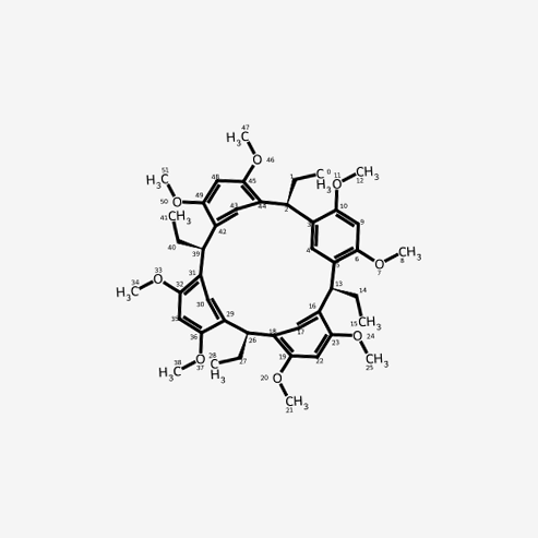 CC[C@H]1c2cc(c(OC)cc2OC)[C@@H](CC)c2cc(c(OC)cc2OC)[C@@H](CC)c2cc(c(OC)cc2OC)[C@@H](CC)c2cc1c(OC)cc2OC